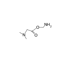 CN(C)CC(=O)OCN